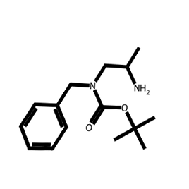 CC(N)CN(Cc1ccccc1)C(=O)OC(C)(C)C